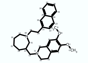 COc1cc2c(cc1OC)CN(CC1CCCCN(CCc3ccc4ccccc4c3)C1)CC2